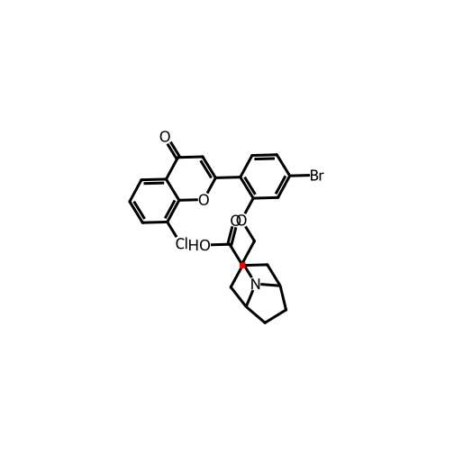 O=C(O)C1CC2CCC(C1)N2CCOc1cc(Br)ccc1-c1cc(=O)c2cccc(Cl)c2o1